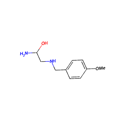 COc1ccc(CNCC(N)O)cc1